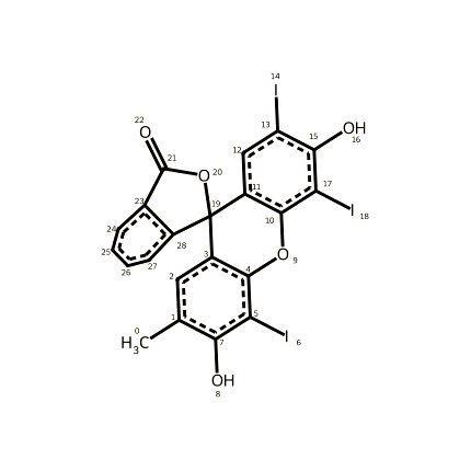 Cc1cc2c(c(I)c1O)Oc1c(cc(I)c(O)c1I)C21OC(=O)c2ccccc21